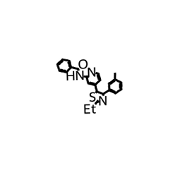 CCC1=NC(c2cccc(C)c2)C(c2ccnc(NC(=O)c3ccccc3)c2)S1